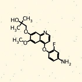 COc1cc2c(Oc3ccc(N)cc3F)ccnc2cc1OCC(C)(C)O